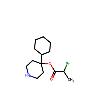 CC(Br)C(=O)OC1(C2CCCCC2)CCNCC1